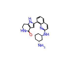 N[C@@H]1CCC[C@@H](Nc2ccc3cccc(-c4cc5c([nH]4)CCNC5=O)c3n2)C1